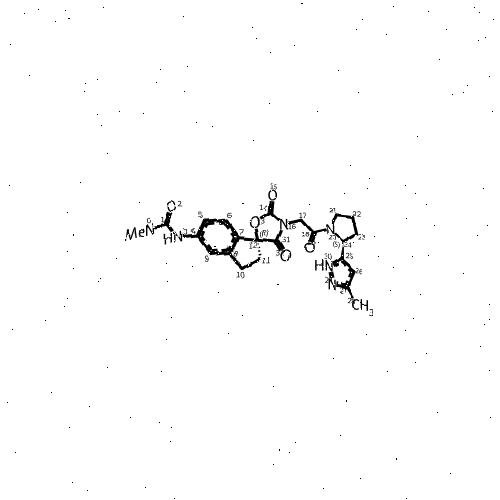 CNC(=O)Nc1ccc2c(c1)CC[C@@]21OC(=O)N(CC(=O)N2CCC[C@H]2c2cc(C)n[nH]2)C1=O